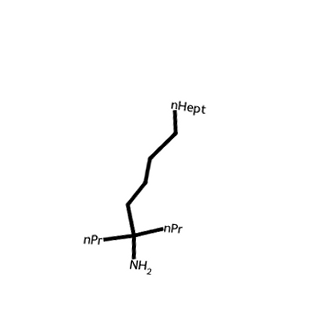 CCCCCCCCCCCC(N)(CCC)CCC